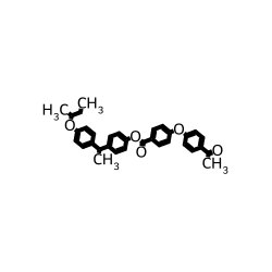 CCC(C)Oc1ccc(C(C)c2ccc(OC(=O)c3ccc(Oc4ccc(C(C)=O)cc4)cc3)cc2)cc1